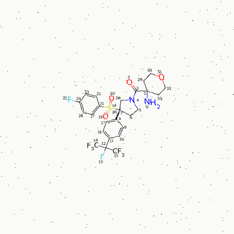 NC1(C(=O)N2CC[C@](c3ccc(C(F)(C(F)(F)F)C(F)(F)F)cc3)(S(=O)(=O)c3ccc(F)cc3)C2)CCOCC1